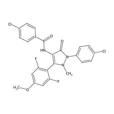 COc1cc(F)c(-c2c(NC(=O)c3ccc(Cl)cc3)c(=O)n(-c3ccc(Cl)cc3)n2C)c(F)c1